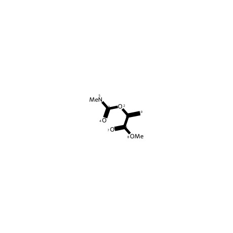 C=C(OC(=O)NC)C(=O)OC